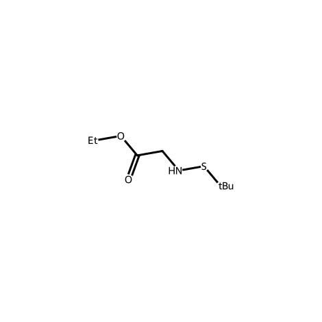 CCOC(=O)CNSC(C)(C)C